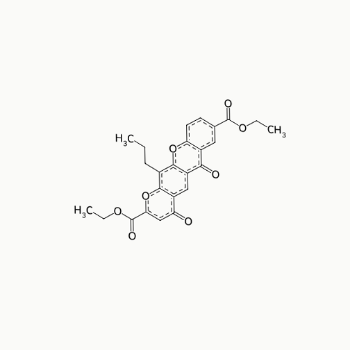 CCCc1c2oc(C(=O)OCC)cc(=O)c2cc2c(=O)c3cc(C(=O)OCC)ccc3oc12